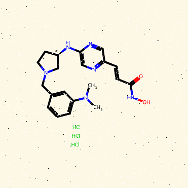 CN(C)c1cccc(CN2CC[C@@H](Nc3cnc(C=CC(=O)NO)cn3)C2)c1.Cl.Cl.Cl